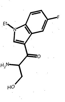 CCn1cc(C(=O)C(N)CO)c2cc(F)ccc21